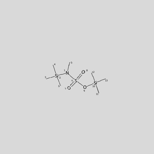 CN([Si](C)(C)C)S(=O)(=O)O[Si](C)(C)C